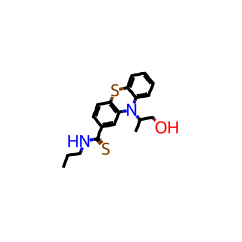 CCCNC(=S)c1ccc2c(c1)N(C(C)CO)c1ccccc1S2